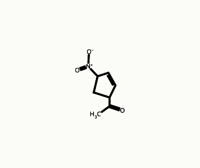 CC(=O)C1C=CC([N+](=O)[O-])C1